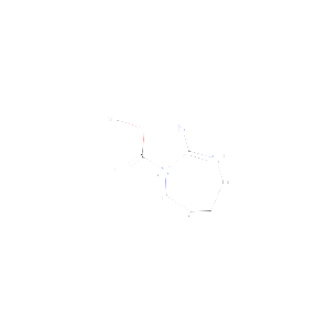 CC(C)(C)OC(=O)N1CCCCN=C1N